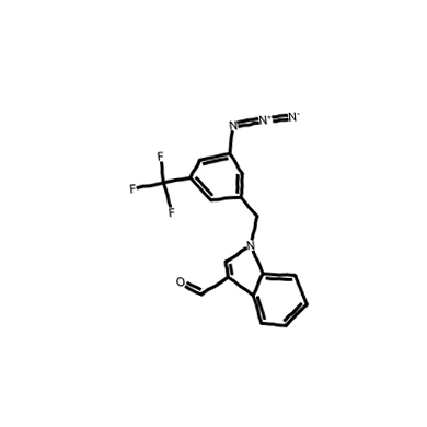 [N-]=[N+]=Nc1cc(Cn2cc(C=O)c3ccccc32)cc(C(F)(F)F)c1